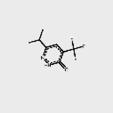 CC(C)c1cc(C(F)(F)F)c(=O)[nH]n1